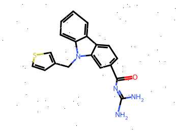 NC(N)=NC(=O)c1ccc2c3ccccc3n(Cc3ccsc3)c2c1